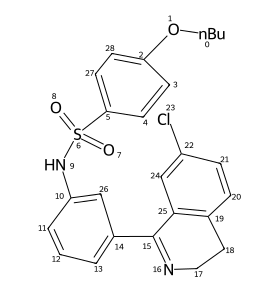 CCCCOc1ccc(S(=O)(=O)Nc2cccc(C3=NCCc4ccc(Cl)cc43)c2)cc1